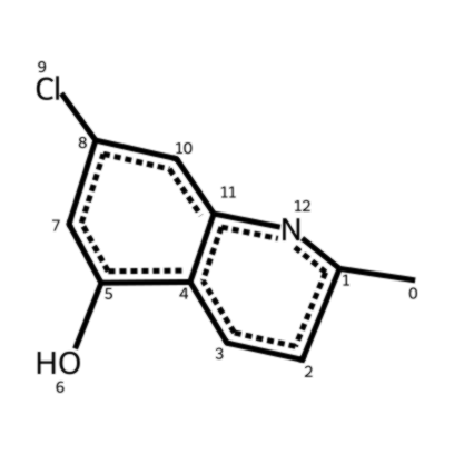 Cc1ccc2c(O)cc(Cl)cc2n1